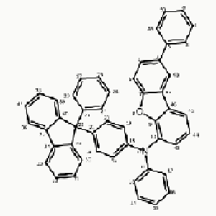 c1ccc(-c2ccc3oc4c(N(c5ccccc5)c5ccc(C6(c7ccccc7)c7ccccc7-c7ccccc76)cc5)cccc4c3c2)cc1